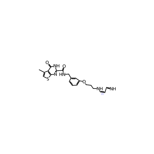 Cc1csc2nc(C(=O)NCc3cccc(OCCCN/C=C\C=N)c3)[nH]c(=O)c12